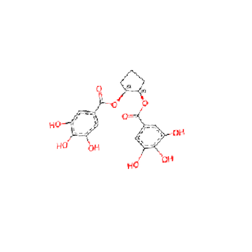 O=C(O[C@H]1CCC[C@H]1OC(=O)c1cc(O)c(O)c(O)c1)c1cc(O)c(O)c(O)c1